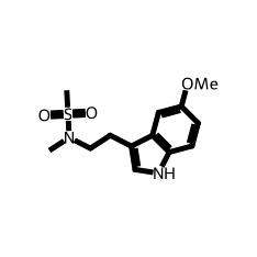 COc1ccc2[nH]cc(CCN(C)S(C)(=O)=O)c2c1